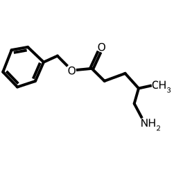 CC(CN)CCC(=O)OCc1ccccc1